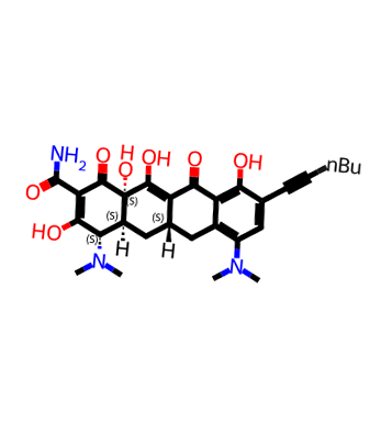 CCCCC#Cc1cc(N(C)C)c2c(c1O)C(=O)C1=C(O)[C@]3(O)C(=O)C(C(N)=O)=C(O)[C@@H](N(C)C)[C@@H]3C[C@H]1C2